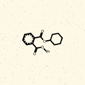 CC(C)OC(=O)c1ccccc1C(=O)OC1CCCCC1